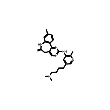 Cc1ccc2c(c1)NC(=S)Cc1cnc(Nc3cc(CCCCN(C)C)cnc3C)nc1-2